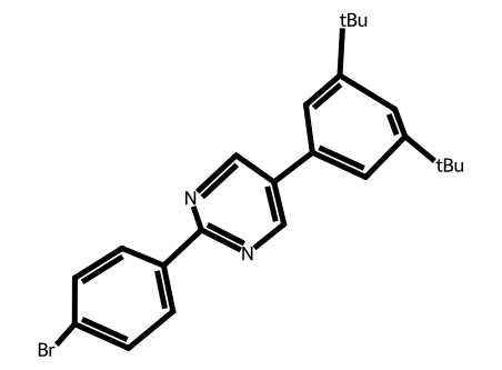 CC(C)(C)c1cc(-c2cnc(-c3ccc(Br)cc3)nc2)cc(C(C)(C)C)c1